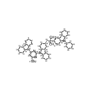 CC(C)(C)c1nc(-n2c3ccccc3c3ccccc32)nc(-n2c3ccccc3c3cc(CC(C)(C)c4ccc5c(c4)c4ccccc4n5-c4ccccc4)ccc32)n1